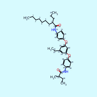 CCCCCCCC(CCC)C(=O)Nc1ccc(Oc2cc(CC)cc(Oc3ccc(NC(=O)C(C)CC)cc3)c2)cc1